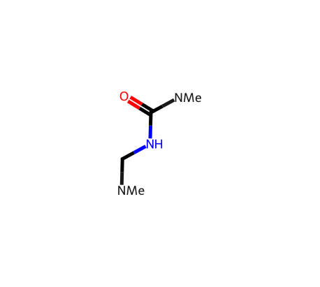 CNCNC(=O)NC